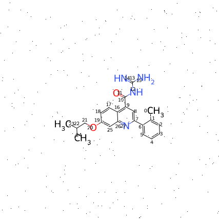 Cc1ccccc1-c1cc(C(=O)NC(=N)N)c2ccc(OCC(C)C)cc2n1